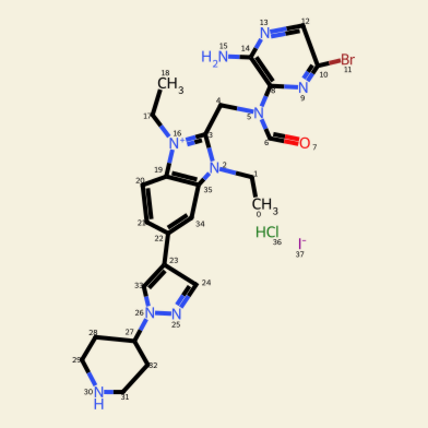 CCn1c(CN(C=O)c2nc(Br)cnc2N)[n+](CC)c2ccc(-c3cnn(C4CCNCC4)c3)cc21.Cl.[I-]